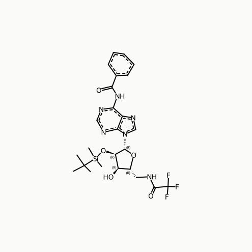 CC(C)(C)[Si](C)(C)O[C@@H]1[C@H](O)[C@@H](CNC(=O)C(F)(F)F)O[C@H]1n1cnc2c(NC(=O)c3ccccc3)ncnc21